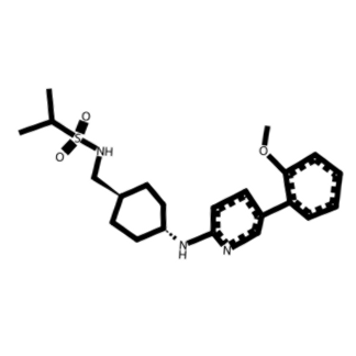 COc1ccccc1-c1ccc(N[C@H]2CC[C@H](CNS(=O)(=O)C(C)C)CC2)nc1